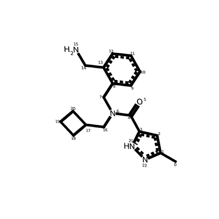 Cc1cc(C(=O)N(Cc2ccccc2CN)CC2CCC2)[nH]n1